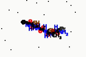 CC(C)C[C@H](NCC(=O)[C@H](C)NCC(=O)[C@H](CS)NNCC(=O)C(=O)CNC(=O)CNC(=O)[C@H](CS)NC(=O)[C@@H](N)Cc1ccccc1)C(N)=O